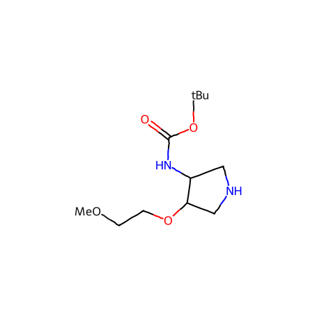 COCCOC1CNCC1NC(=O)OC(C)(C)C